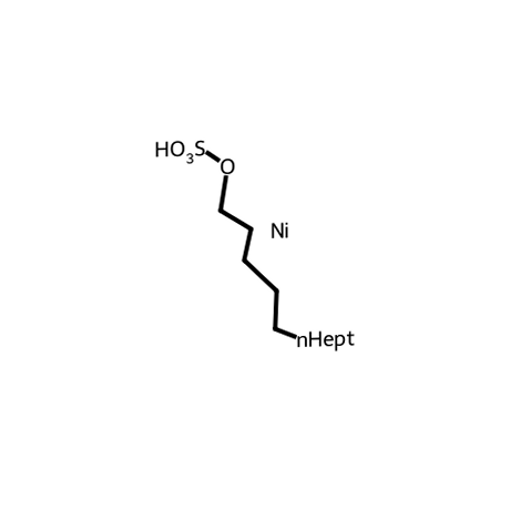 CCCCCCCCCCCCOS(=O)(=O)O.[Ni]